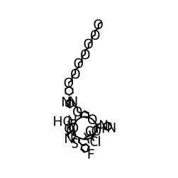 COCCOCCOCCOCCOCCOCCO[C@H]1CC[C@H](c2nccc(COc3ccc4cc3C[C@H](C(=O)O)Oc3ncnc5sc(-c6ccc(F)cc6)c(c35)-c3c(C)c(Cl)c(c(Cl)c3C)O[C@H](CN3CCN(C)CC3)CO4)n2)CC1